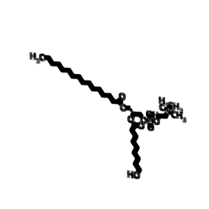 CCCCCCCCCCCCCCCC(=O)OC[C@H](COP(=O)(O)OCC[N+](C)(C)C)OC(=O)CCCCCCCCO